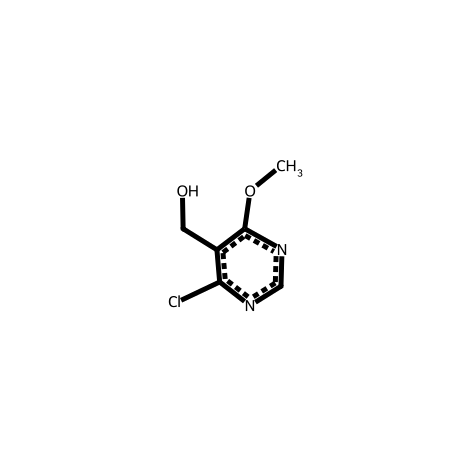 COc1ncnc(Cl)c1CO